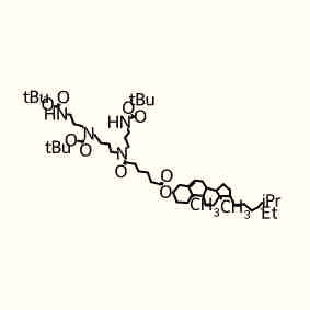 CC[C@H](CCCC1CCC2C3CC=C4CC(OC(=O)CCCCC(=O)N(CCCCN(CCCNC(=O)OC(C)(C)C)C(=O)OC(C)(C)C)CCCNC(=O)OC(C)(C)C)CCC4(C)C3CCC12C)C(C)C